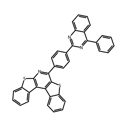 c1ccc(-c2nc(-c3ccc(-c4nc5sc6ccccc6c5c5c4sc4ccccc45)cc3)nc3ccccc23)cc1